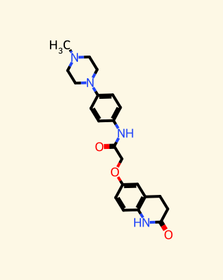 CN1CCN(c2ccc(NC(=O)COc3ccc4c(c3)CCC(=O)N4)cc2)CC1